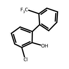 Oc1c(Cl)cccc1-c1ccccc1C(F)(F)F